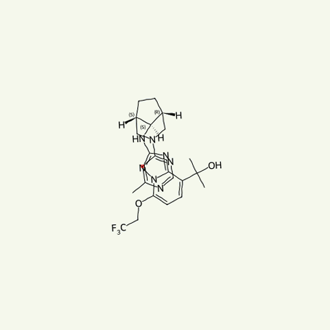 Cc1cc(N2C[C@H]3CC[C@@H](C2)[C@@H]3Nc2nc3c(C(C)(C)O)ccc(OCC(F)(F)F)n3n2)ncn1